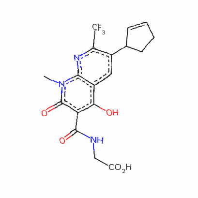 Cn1c(=O)c(C(=O)NCC(=O)O)c(O)c2cc(C3C=CCC3)c(C(F)(F)F)nc21